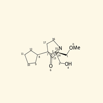 COC[C@@]1(CO)C(=O)C2(C3CCCC3)CCN1CC2